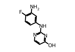 Nc1cc(Nc2nccc(O)n2)ccc1F